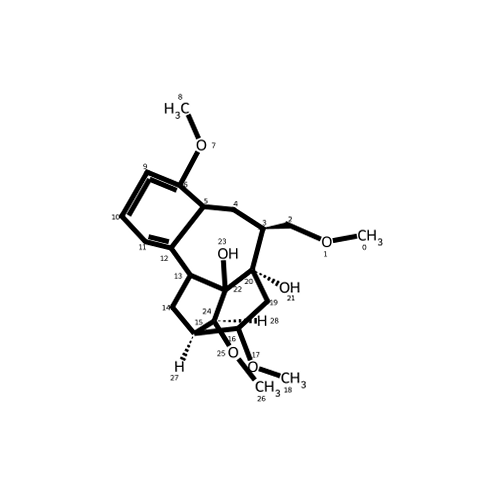 COC[C@@H]1CC2C(OC)=C=CC=C2C2C[C@@H]3C(OC)C[C@@]1(O)C2(O)[C@H]3OC